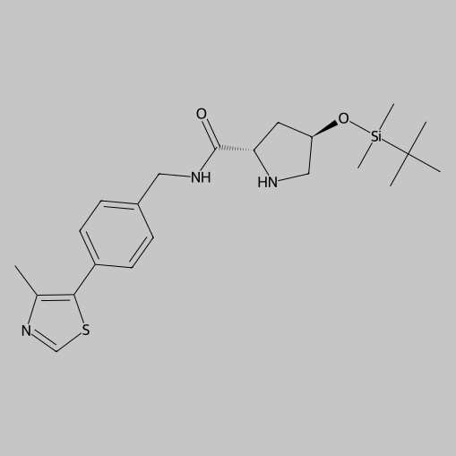 Cc1ncsc1-c1ccc(CNC(=O)[C@@H]2C[C@@H](O[Si](C)(C)C(C)(C)C)CN2)cc1